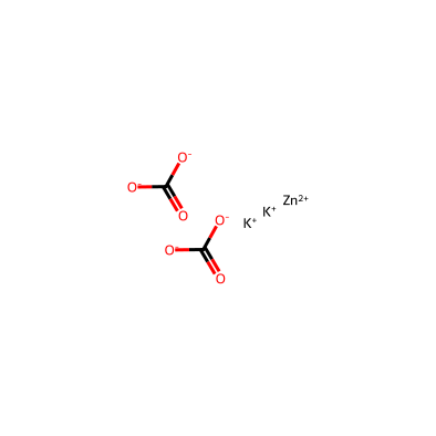 O=C([O-])[O-].O=C([O-])[O-].[K+].[K+].[Zn+2]